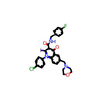 O=C(NCc1ccc(F)cc1)c1c(I)n(-c2ccc(Cl)cc2)c2ccc(CN3CCOCC3)cc2c1=O